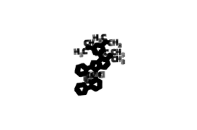 CC(C)c1cc(-c2c(C(C)(C)C)ccc3c2C=C(c2ccccc2)[CH]3[Zr]([Cl])([Cl])[c]2cccc3c2[SiH2]c2ccccc2-3)cc(C(C)C)c1